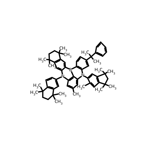 Cc1cc2c3c(c1)N(c1cc4c(cc1C)C(C)(C)CC4(C)C)c1cc(C(C)(C)c4ccccc4)ccc1B3c1cc3c(cc1N2c1ccc2c(c1)C(C)(C)CCC2(C)C)C(C)(C)CCC3(C)C